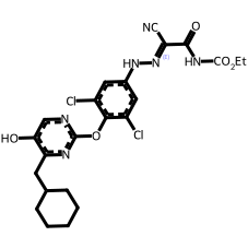 CCOC(=O)NC(=O)/C(C#N)=N/Nc1cc(Cl)c(Oc2ncc(O)c(CC3CCCCC3)n2)c(Cl)c1